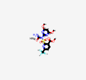 COC(=O)c1ccc(C(F)(F)F)nc1S(=O)(=O)N(C(N)=O)c1nc(OC)cc(OC)n1.[NaH]